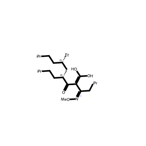 CC[C@@H](CCC(C)C)C[C@@H](CCC(C)C)C(=O)C(=C(O)O)/C(CC(C)C)=N\OC